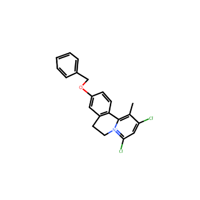 Cc1c(Cl)cc(Cl)[n+]2c1-c1ccc(OCc3ccccc3)cc1CC2